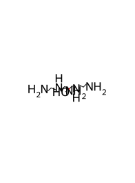 NCCCNCCCCNCCCN.NO